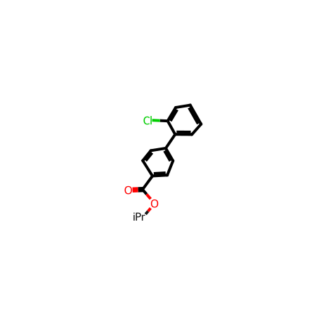 CC(C)OC(=O)c1ccc(-c2ccccc2Cl)cc1